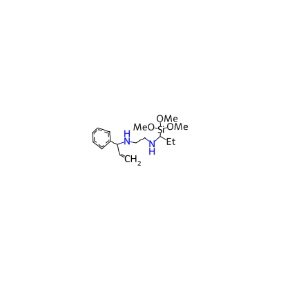 C=CC(NCCNC(CC)[Si](OC)(OC)OC)c1ccccc1